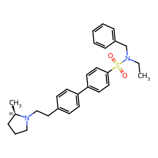 CCN(Cc1ccccc1)S(=O)(=O)c1ccc(-c2ccc(CCN3CCC[C@H]3C)cc2)cc1